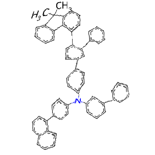 CC1(C)c2ccccc2-c2c(-c3ccc(-c4ccc(N(c5ccc(-c6cccc7ccccc67)cc5)c5cccc(-c6ccccc6)c5)cc4)cc3-c3ccccc3)cccc21